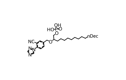 CCCCCCCCCCCCCCCCCCCC(COP(=O)(O)O)OCc1ccc(-n2cncn2)c(C#N)c1